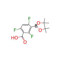 CC1(C)OB(c2c(F)cc(F)c(C(=O)O)c2F)OC1(C)C